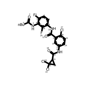 CCCCC(=O)Nc1c(F)ccc(NC(=O)c2cc(NC(=O)C3CC3(Cl)Cl)ccc2Cl)c1F